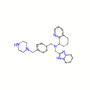 c1cnc2c(c1)CCCC2N(Cc1ccc(CN2CCNCC2)cc1)Cc1nc2ccccc2[nH]1